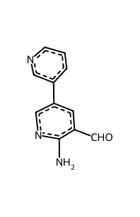 Nc1ncc(-c2cccnc2)cc1C=O